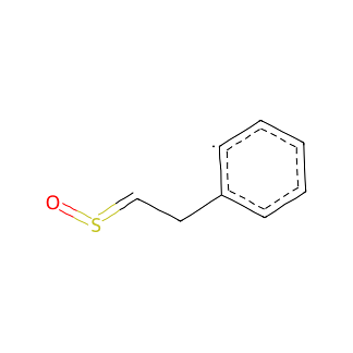 O=S=CCc1[c]cccc1